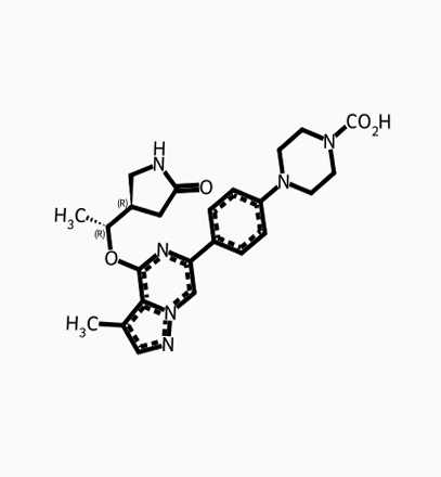 Cc1cnn2cc(-c3ccc(N4CCN(C(=O)O)CC4)cc3)nc(O[C@H](C)[C@H]3CNC(=O)C3)c12